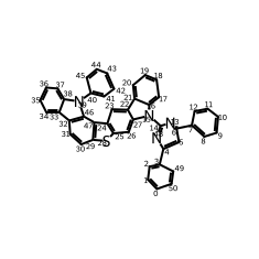 c1ccc(-c2cc(-c3ccccc3)nc(-n3c4ccccc4c4cc5c(cc43)sc3ccc4c6ccccc6n(-c6ccccc6)c4c35)n2)cc1